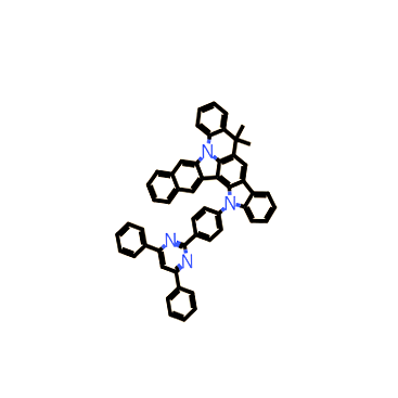 CC1(C)c2ccccc2-n2c3cc4ccccc4cc3c3c2c1cc1c2ccccc2n(-c2ccc(-c4nc(-c5ccccc5)cc(-c5ccccc5)n4)cc2)c13